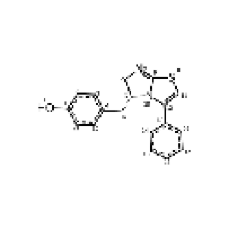 Oc1ccc(C[C@@H]2CN=C3SC=C(c4ccccc4)N32)cc1